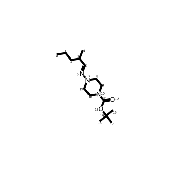 CCCC(C)/C=N/N1CCN(C(=O)OC(C)(C)C)CC1